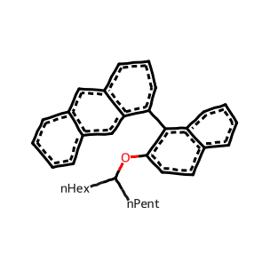 CCCCCCC(CCCCC)Oc1ccc2ccccc2c1-c1cccc2cc3ccccc3cc12